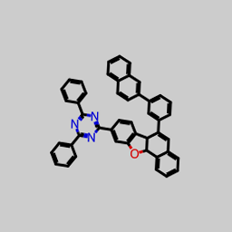 C1=C(c2cccc(-c3ccc4ccccc4c3)c2)C2c3ccc(-c4nc(-c5ccccc5)nc(-c5ccccc5)n4)cc3OC2c2ccccc21